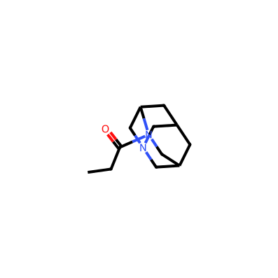 CCC(=O)N1CC2CC3CC1CN(C3)C2